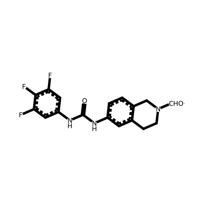 O=[C]N1CCc2cc(NC(=O)Nc3cc(F)c(F)c(F)c3)ccc2C1